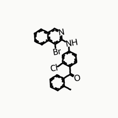 Cc1ccccc1C(=O)c1ccc(Nc2ncc3ccccc3c2Br)cc1Cl